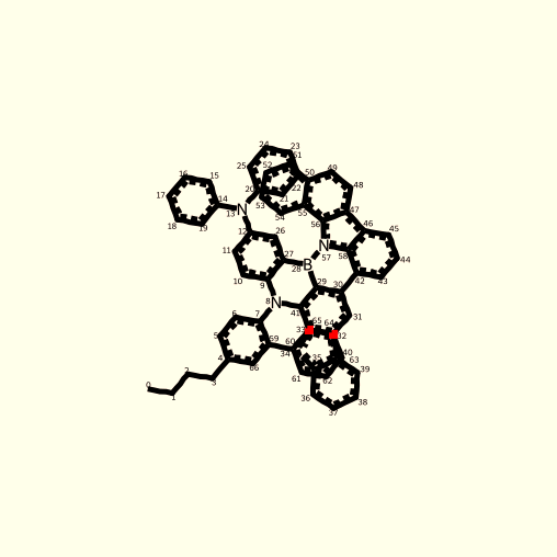 CCCCc1ccc(N2c3ccc(N(c4ccccc4)c4ccccc4)cc3B3c4c(cc5c(sc6ccccc65)c42)-c2cccc4c5ccc6ccccc6c5n3c24)c(-c2ccccc2)c1